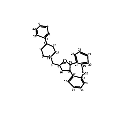 c1ccc(C2CCN(CC3CC4c5ccccc5Sc5ccccc5C4O3)CC2)cc1